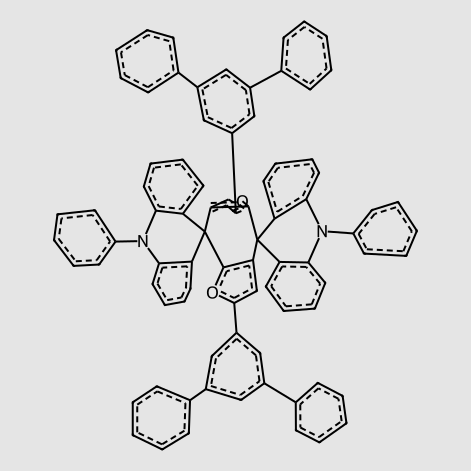 c1ccc(-c2cc(-c3ccccc3)cc(-c3cc4c(o3)C3(c5ccccc5N(c5ccccc5)c5ccccc53)c3cc(-c5cc(-c6ccccc6)cc(-c6ccccc6)c5)oc3C43c4ccccc4N(c4ccccc4)c4ccccc43)c2)cc1